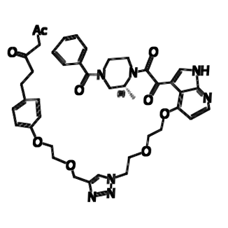 CC(=O)CC(=O)CCc1ccc(OCCOCc2cn(CCOCCOc3ccnc4[nH]cc(C(=O)C(=O)N5CCN(C(=O)c6ccccc6)C[C@H]5C)c34)nn2)cc1